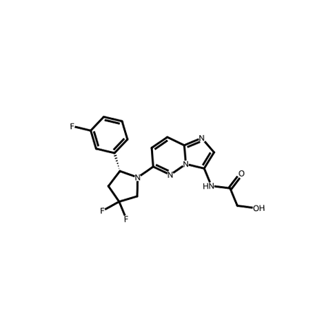 O=C(CO)Nc1cnc2ccc(N3CC(F)(F)C[C@@H]3c3cccc(F)c3)nn12